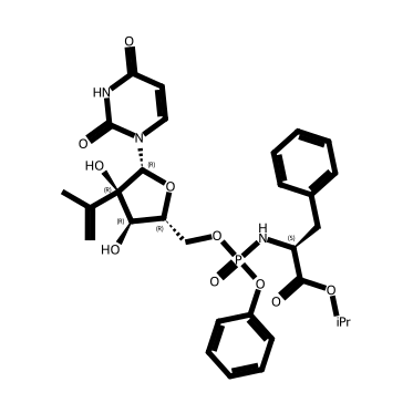 C=C(C)[C@@]1(O)[C@H](O)[C@@H](COP(=O)(N[C@@H](Cc2ccccc2)C(=O)OC(C)C)Oc2ccccc2)O[C@H]1n1ccc(=O)[nH]c1=O